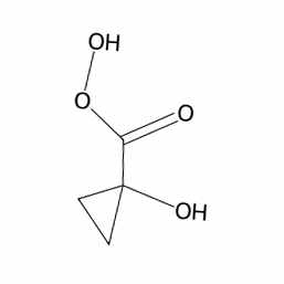 O=C(OO)C1(O)CC1